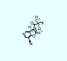 CC(C)(CF)C(=O)N1C[C@@H]2C[C@H]1c1cncc(C#N)c1O2